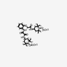 CCCCCCCCON1C(C)(C)CC(NC(=O)COc2ccccc2NC(=O)C(=O)NC2CC(C)(C)N(OCCCCCCCC)C(C)(C)C2)CC1(C)C